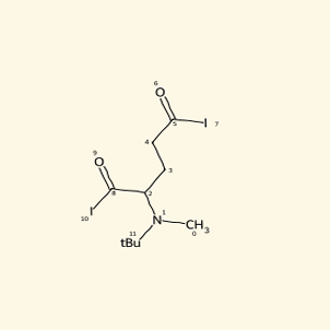 CN(C(CCC(=O)I)C(=O)I)C(C)(C)C